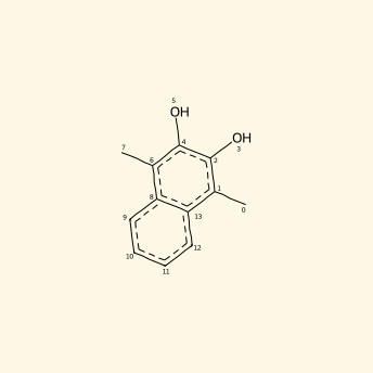 Cc1c(O)c(O)c(C)c2ccccc12